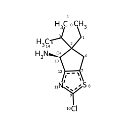 CCC1(C(C)C)Cc2sc(Cl)nc2[C@H]1N